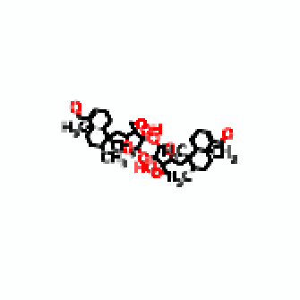 CC1CCC2(C)C(C=O)=CCCC2C1(C)CC1OC2OC3(O)C(OC(CC4(C)C(C)CCC5(C)C(C=O)=CCCC54)C34CO4)OC2(O)C12CO2